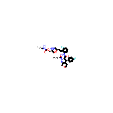 COC(=O)N[C@H](C(=O)Nc1cccc(F)c1CC[C@@H]1CN[C@H](COC(=O)NCC(F)(F)F)CO1)[C@@H](c1ccc(F)cc1)C1CCOCC1